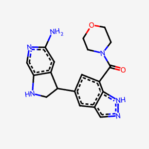 Nc1cc2c(cn1)NCC2c1cc(C(=O)N2CCOCC2)c2[nH]ncc2c1